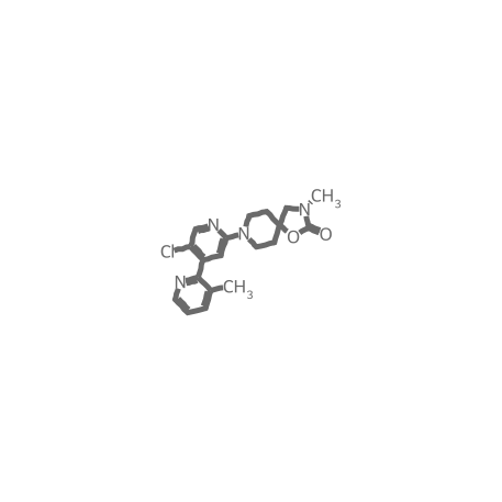 Cc1cccnc1-c1cc(N2CCC3(CC2)CN(C)C(=O)O3)ncc1Cl